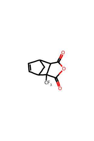 O=C1OC(=O)C2(C(F)(F)F)C3C=CC(C3)C12